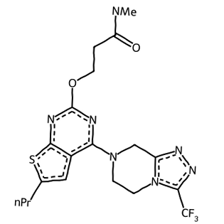 CCCc1cc2c(N3CCn4c(nnc4C(F)(F)F)C3)nc(OCCC(=O)NC)nc2s1